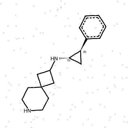 c1ccc([C@H]2C[C@@H]2NC2CC3(CCNCC3)C2)cc1